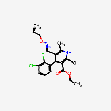 C=CCO/N=C/C1=C(C)NC(C)=C(C(=O)OCC)C1c1cccc(Cl)c1Cl